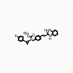 CC(C)(C)OC(=O)N(Cc1ccc(/C=C/C(=O)Nc2ccccc2N)cc1)C1CC1c1ccc(F)cc1